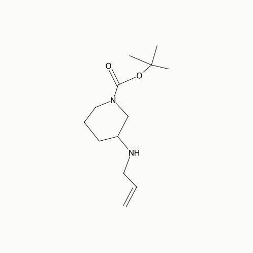 C=CCNC1CCCN(C(=O)OC(C)(C)C)C1